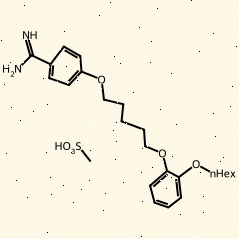 CCCCCCOc1ccccc1OCCCCCOc1ccc(C(=N)N)cc1.CS(=O)(=O)O